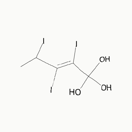 CC(I)C(I)=C(I)C(O)(O)O